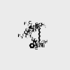 C=C[C@@H]1C[C@@]1(NC(=O)OC(C)(C)C)C(=O)NS(=O)(=O)N(C)CCCCCCCC[C@H](NS(=O)(=O)c1ccccc1[N+](=O)[O-])C(=O)O